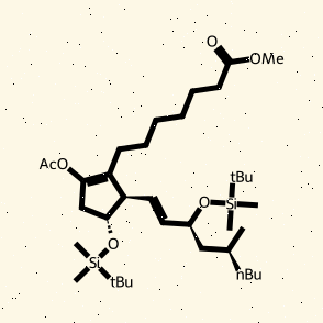 CCCC[C@H](C)C[C@@H](/C=C/[C@@H]1C(CCCCCCC(=O)OC)=C(OC(C)=O)C[C@H]1O[Si](C)(C)C(C)(C)C)O[Si](C)(C)C(C)(C)C